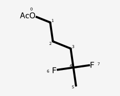 CC(=O)OCCCC(C)(F)F